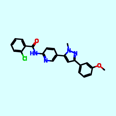 COc1cccc(-c2cc(-c3ccc(NC(=O)c4ccccc4Cl)nc3)n(C)n2)c1